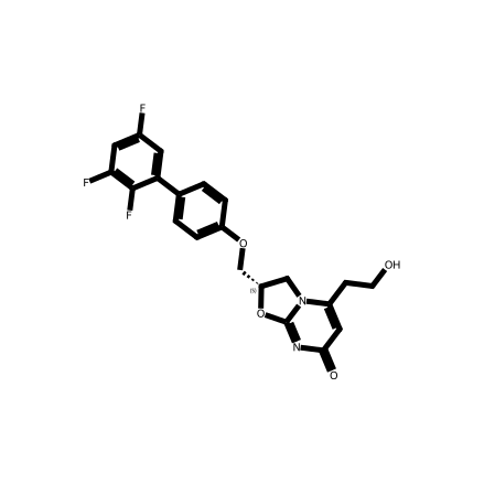 O=c1cc(CCO)n2c(n1)O[C@H](COc1ccc(-c3cc(F)cc(F)c3F)cc1)C2